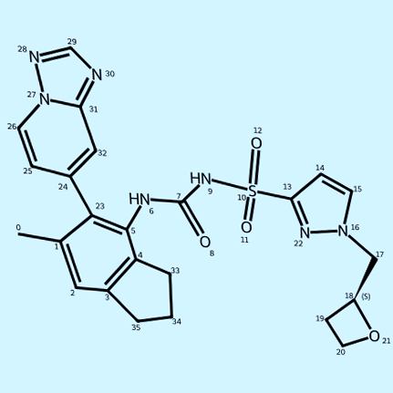 Cc1cc2c(c(NC(=O)NS(=O)(=O)c3ccn(C[C@@H]4CCO4)n3)c1-c1ccn3ncnc3c1)CCC2